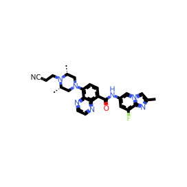 Cc1cn2cc(NC(=O)c3ccc(N4C[C@@H](C)N(CCC#N)[C@@H](C)C4)c4nccnc34)cc(F)c2n1